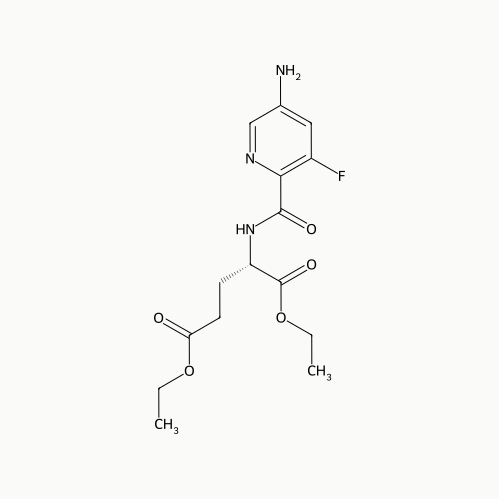 CCOC(=O)CC[C@H](NC(=O)c1ncc(N)cc1F)C(=O)OCC